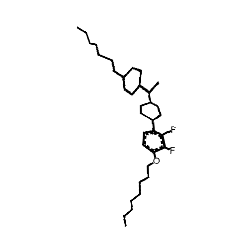 CCCCCCCCOc1ccc(C2CCC(C(C)C3CCC(CCCCCCC)CC3)CC2)c(F)c1F